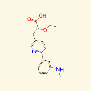 CCOC(Cc1ccc(-c2cccc(NC)c2)nc1)C(=O)O